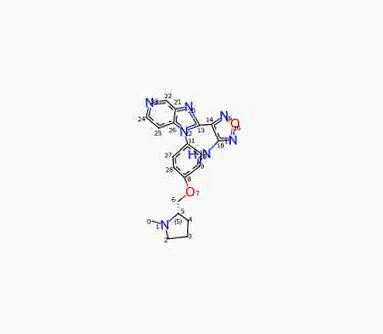 CN1CCC[C@H]1COc1ccc(-n2c(-c3nonc3N)nc3cnccc32)cc1